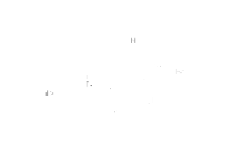 CCC(C)CNC(=O)c1cncc(Br)c1Cl